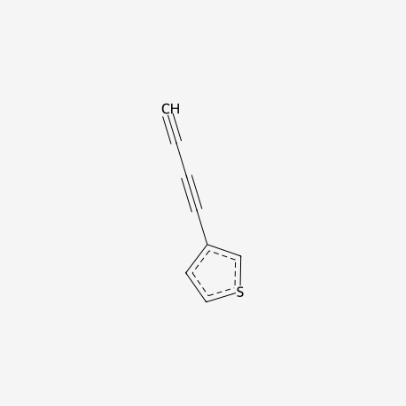 C#CC#Cc1ccsc1